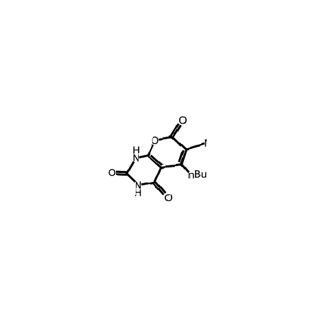 CCCCc1c(I)c(=O)oc2[nH]c(=O)[nH]c(=O)c12